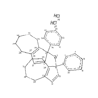 C1=C[C]([Zr][C]2(c3ccccc3)C=CC3=C2CCCCC3)(c2ccccc2)C2=C1CCCCC2.Cl.Cl